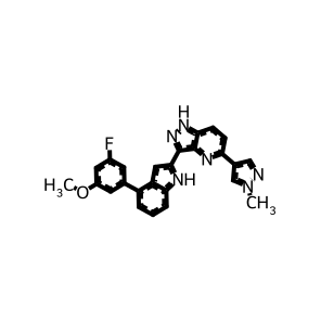 COc1cc(F)cc(-c2cccc3[nH]c(-c4n[nH]c5ccc(-c6cnn(C)c6)nc45)cc23)c1